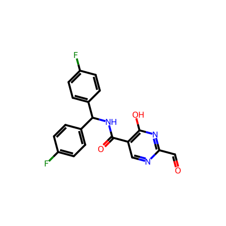 O=Cc1ncc(C(=O)NC(c2ccc(F)cc2)c2ccc(F)cc2)c(O)n1